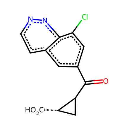 O=C(c1cc(Cl)c2nnccc2c1)C1C[C@@H]1C(=O)O